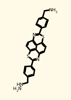 NCc1ccc(C2=Nc3ccc4c5c(ccc(c35)S2)N=C(c2ccc(CNN)cc2)S4)cc1